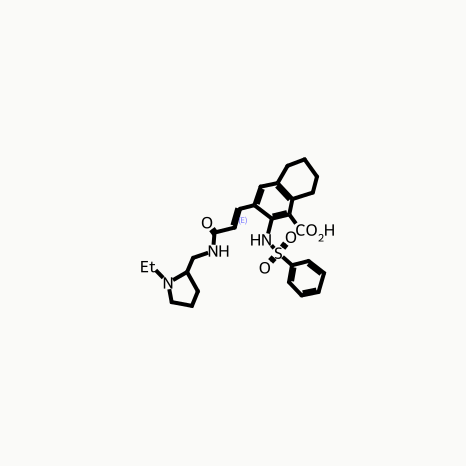 CCN1CCCC1CNC(=O)/C=C/c1cc2c(c(C(=O)O)c1NS(=O)(=O)c1ccccc1)CCCC2